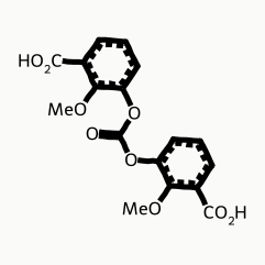 COc1c(OC(=O)Oc2cccc(C(=O)O)c2OC)cccc1C(=O)O